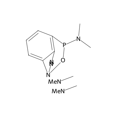 CN(C)P1On2nnc3c1cccc32.CNC.CNC